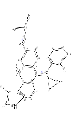 N#Cc1c(/C(=C(/c2ccccc2F)C2CC2)c2ccc(/C=C/C(=O)O)cc2)ccc2[nH]nc(F)c12